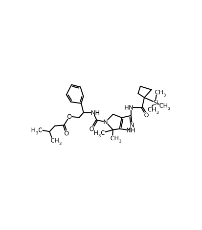 CC(C)CC(=O)OCC(NC(=O)N1Cc2c(NC(=O)C3([Si](C)(C)C)CCC3)n[nH]c2C1(C)C)c1ccccc1